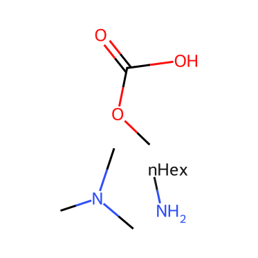 CCCCCCN.CN(C)C.COC(=O)O